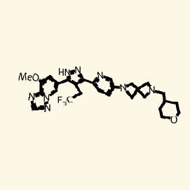 COc1cc(-c2[nH]nc(-c3ccc(N4CC5(CN(CC6CCOCC6)C5)C4)cn3)c2CC(F)(F)F)cn2ncnc12